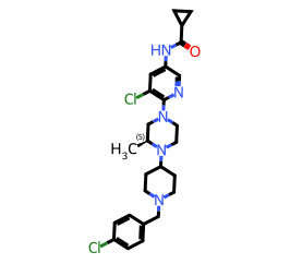 C[C@H]1CN(c2ncc(NC(=O)C3CC3)cc2Cl)CCN1C1CCN(Cc2ccc(Cl)cc2)CC1